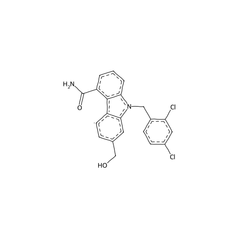 NC(=O)c1cccc2c1c1[c]cc(CO)cc1n2Cc1ccc(Cl)cc1Cl